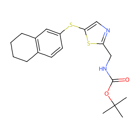 CC(C)(C)OC(=O)NCc1ncc(Sc2ccc3c(c2)CCCC3)s1